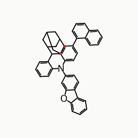 c1ccc(N(c2ccc(-c3cccc4ccccc34)cc2)c2ccc3c(c2)oc2ccccc23)c(C2C3CC4CC(C3)CC2C4)c1